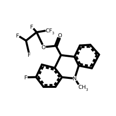 CN1c2ccccc2C(C(=O)OC(F)(C(F)F)C(F)(F)F)c2cc(F)ccc21